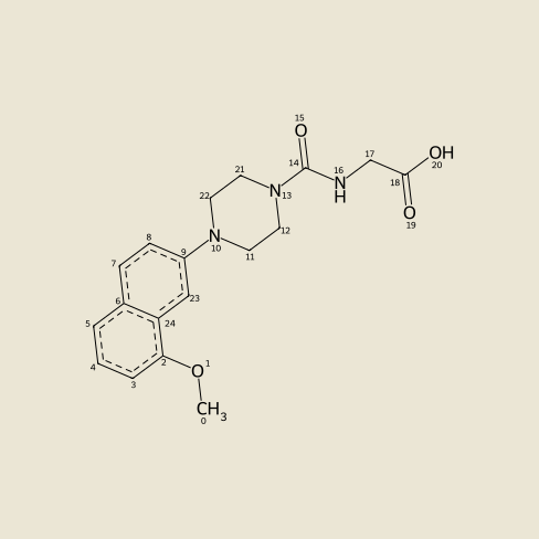 COc1cccc2ccc(N3CCN(C(=O)NCC(=O)O)CC3)cc12